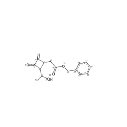 CC(O)C1C(=O)NC1CC(=O)OCc1ccccc1